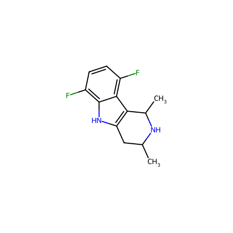 CC1Cc2[nH]c3c(F)ccc(F)c3c2C(C)N1